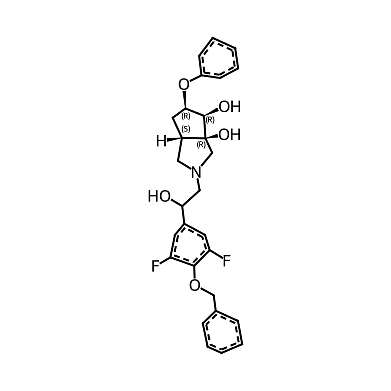 OC(CN1C[C@@H]2C[C@@H](Oc3ccccc3)[C@@H](O)[C@]2(O)C1)c1cc(F)c(OCc2ccccc2)c(F)c1